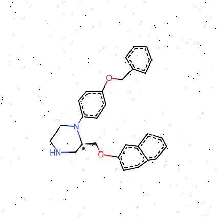 c1ccc(COc2ccc(N3CCNC[C@@H]3COc3ccc4ccccc4c3)cc2)cc1